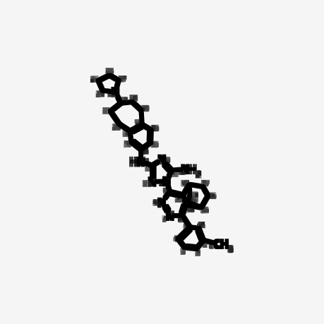 Cc1cccc(-c2nnc(-n3nc(Nc4ccc5c(c4)CCC(N4CCCC4)CC5)nc3N)c3c2C2CCC3CC2)c1